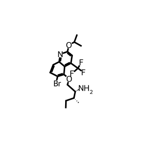 CC[C@@H](C)[C@@H](N)COc1c(Br)ccc2nc(OC(C)C)cc(C(F)(F)F)c12